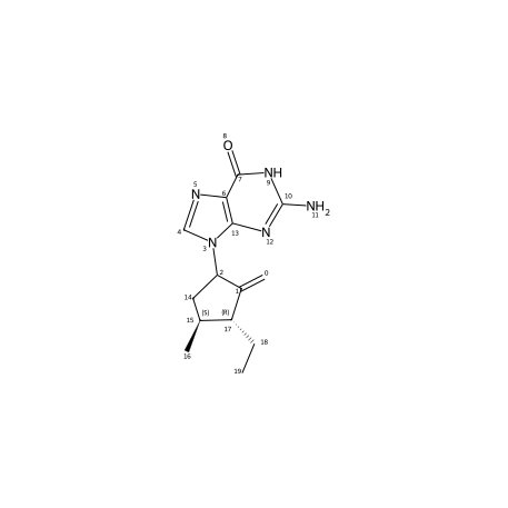 C=C1C(n2cnc3c(=O)[nH]c(N)nc32)C[C@H](C)[C@H]1CC